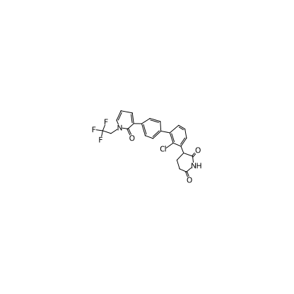 O=C1CCC(c2cccc(-c3ccc(-c4cccn(CC(F)(F)F)c4=O)cc3)c2Cl)C(=O)N1